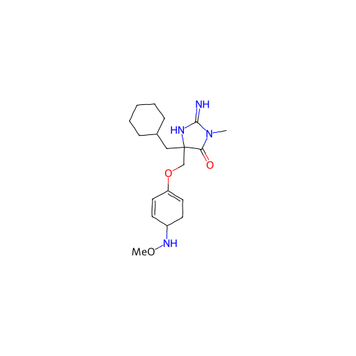 CONC1C=CC(OCC2(CC3CCCCC3)NC(=N)N(C)C2=O)=CC1